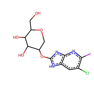 OCC1OCC(Oc2nc3nc(I)c(Cl)cc3[nH]2)C(O)C1O